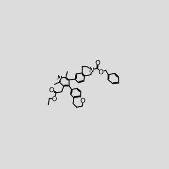 CCOC(=O)Cc1c(C)nc(C)c(-c2ccc3c(c2)CCN(C(=O)OCc2ccccc2)C3)c1-c1ccc2c(c1)CCCO2